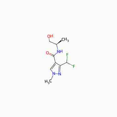 C[C@H](CO)NC(=O)c1cn(C)nc1C(F)F